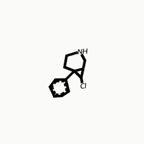 ClC1C2CNCCC12c1ccccc1